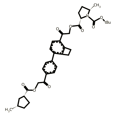 C[C@H]1CC[C@@H](C(=O)OCC(=O)c2ccc(-c3ccc(C(=O)COC(=O)[C@@H]4CC[C@H](C)N4C(=O)OC(C)(C)C)c4c3CC4)cc2)C1